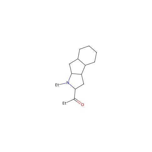 CCC(=O)C1CC2C3CCCCC3CC2N1CC